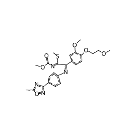 COCCOc1ccc(C(=Nc2ccc(-c3noc(C)n3)cc2)C(=NC(=O)OC)SC)cc1OC